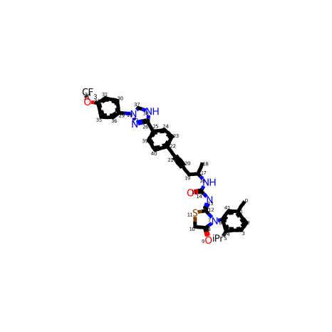 Cc1ccc(C(C)C)c(N2C(=O)CS/C2=N\C(=O)NC(C)CC#Cc2ccc(C3=NN(c4ccc(OC(F)(F)F)cc4)CN3)cc2)c1